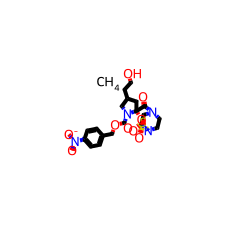 C.O=C(OCc1ccc([N+](=O)[O-])cc1)N1CC(CCO)CC12OS(=O)(=O)N1CCN(CC1)C2=O